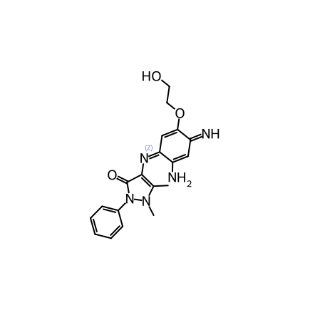 Cc1c(/N=C2/C=C(OCCO)C(=N)C=C2N)c(=O)n(-c2ccccc2)n1C